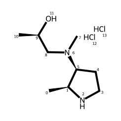 C[C@@H]1NCC[C@@H]1N(C)C[C@@H](C)O.Cl.Cl